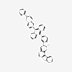 c1ccc(-c2ccc3cc(-c4c5ccccc5c(-c5ccc6sc7cc8c(ccc9sc%10ccccc%10c98)cc7c6c5)c5ccccc45)ccc3c2)cc1